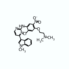 CN(C)CCOc1cc(Cl)c(Nc2nccc(-c3cn(C)c4ccccc34)n2)cc1[N+](=O)[O-]